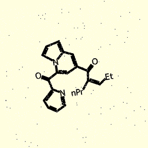 CC/C=C(/CCC)C(=O)c1cc(C(=O)c2ccccn2)n2cccc2c1